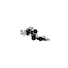 CCC(Nc1nc(C)nc(N)c1C(N)=O)c1nc2cccc(NCc3ccc(C(=O)NO)cc3)c2c(=O)n1-c1ccccc1